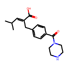 CC(C)/C=C(\Cc1ccc(C(=O)N2CCNCC2)cc1)C(=O)O